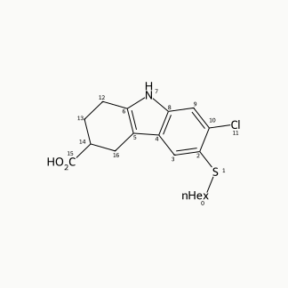 CCCCCCSc1cc2c3c([nH]c2cc1Cl)CCC(C(=O)O)C3